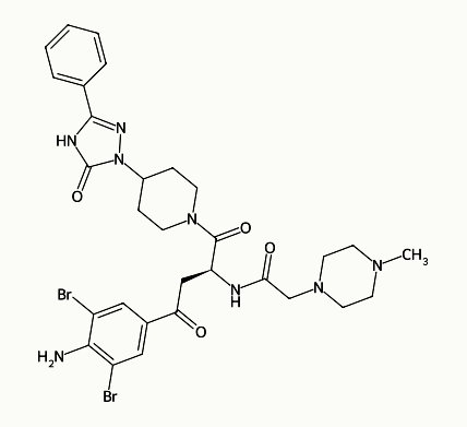 CN1CCN(CC(=O)N[C@@H](CC(=O)c2cc(Br)c(N)c(Br)c2)C(=O)N2CCC(n3nc(-c4ccccc4)[nH]c3=O)CC2)CC1